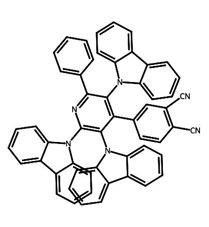 N#Cc1ccc(-c2c(-n3c4ccccc4c4ccccc43)c(-c3ccccc3)nc(-n3c4ccccc4c4ccccc43)c2-n2c3ccccc3c3ccccc32)cc1C#N